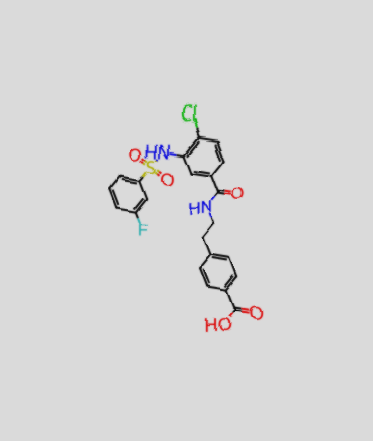 O=C(O)c1ccc(CCNC(=O)c2ccc(Cl)c(NS(=O)(=O)c3cccc(F)c3)c2)cc1